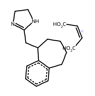 O=C(O)/C=C\C(=O)O.c1ccc2c(c1)CCCCC2CC1=NCCN1